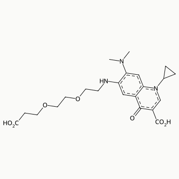 CN(C)c1cc2c(cc1NCCOCCOCCC(=O)O)c(=O)c(C(=O)O)cn2C1CC1